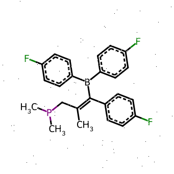 C/C(CP(C)C)=C(/B(c1ccc(F)cc1)c1ccc(F)cc1)c1ccc(F)cc1